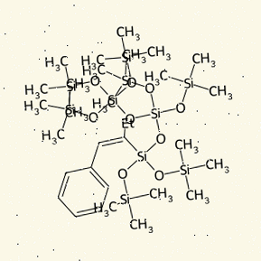 CCC(=Cc1ccccc1)[Si](O[Si](C)(C)C)(O[Si](C)(C)C)O[Si](O[Si](C)(C)C)(O[Si](C)(C)C)O[Si](O[Si](C)(C)C)(O[Si](C)(C)C)O[Si](C)(C)C